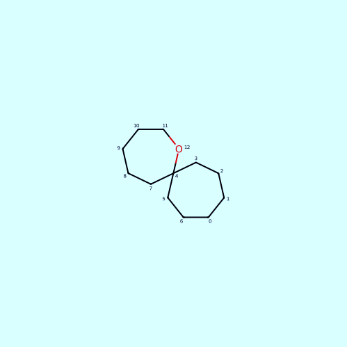 C1CCCC2(CC1)CCCCCO2